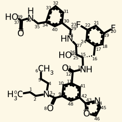 CCCN(CCC)C(=O)c1cc(C(=O)N[C@@H](Cc2cc(F)cc(F)c2)[C@H](O)CNCc2cccc(CNC(=O)O)c2)cc(-c2ncco2)c1